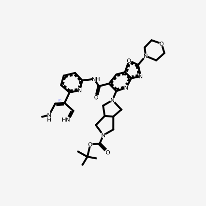 CN/C=C(\C=N)c1cccc(NC(=O)c2cc3oc(N4CCOCC4)nc3nc2N2CC3CN(C(=O)OC(C)(C)C)CC3C2)n1